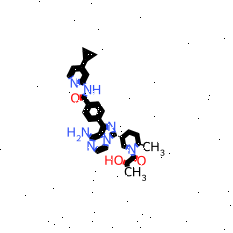 CC(O)C(=O)N1C[C@H](c2nc(-c3ccc(C(=O)Nc4cc(C5CC5)ccn4)cc3)c3c(N)nccn23)CC[C@@H]1C